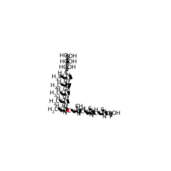 C=CCc1nccn1C.C=CCc1nccn1C.C=CCc1nccn1C.C=CCc1nccn1C.C=CCc1nccn1C.C=CCc1nccn1C.C=CCc1nccn1C.C=CCc1nccn1C.OB(O)F.OB(O)F.OB(O)F.OB(O)F